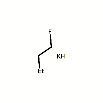 CCCCF.[KH]